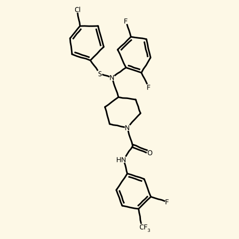 O=C(Nc1ccc(C(F)(F)F)c(F)c1)N1CCC(N(Sc2ccc(Cl)cc2)c2cc(F)ccc2F)CC1